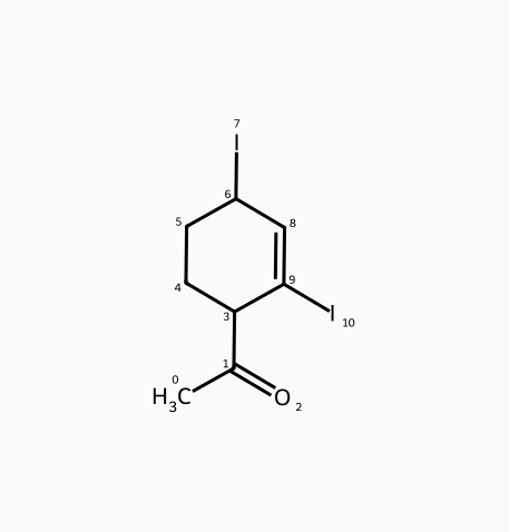 CC(=O)C1CCC(I)C=C1I